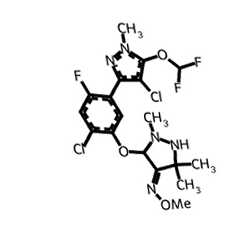 CON=C1C(Oc2cc(-c3nn(C)c(OC(F)F)c3Cl)c(F)cc2Cl)N(C)NC1(C)C